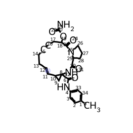 Cc1ccc(NC(=O)C23CC2/C=C/CCCCCC(OC(N)=O)C(=O)N2CCCC2C(=O)N3)cc1